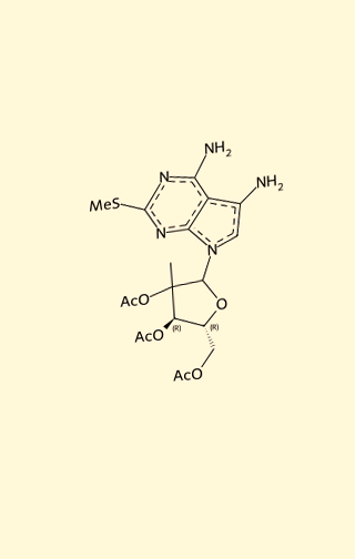 CSc1nc(N)c2c(N)cn(C3O[C@H](COC(C)=O)[C@@H](OC(C)=O)C3(C)OC(C)=O)c2n1